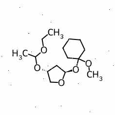 CCOC(C)O[C@H]1CO[C@H](OC2(OC)CCCCC2)C1